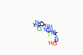 Cc1nn(-c2nc(Nc3ccc4nn(C(C)C)c(Cl)c4c3)ncc2F)cc1CN1CC(O)C1